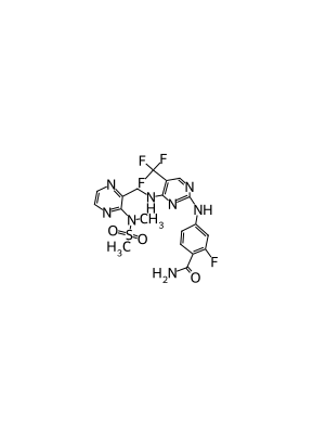 CN(c1nccnc1CNc1nc(Nc2ccc(C(N)=O)c(F)c2)ncc1C(F)(F)F)S(C)(=O)=O